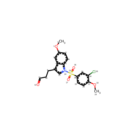 COc1ccc2c(c1)c(CCC=O)cn2S(=O)(=O)c1ccc(OC)c(Cl)c1